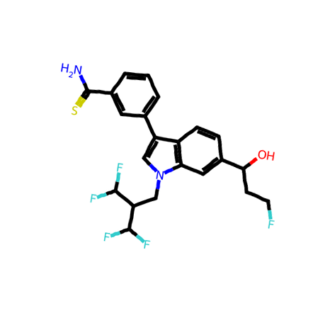 NC(=S)c1cccc(-c2cn(CC(C(F)F)C(F)F)c3cc(C(O)CCF)ccc23)c1